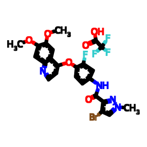 COc1cc2nccc(Oc3ccc(NC(=O)c4nn(C)cc4Br)cc3F)c2cc1OC.O=C(O)C(F)(F)F